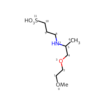 COCCOCC(C)NCCCS(=O)(=O)O